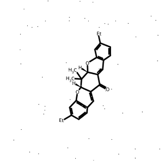 CCc1ccc2c(c1)O[C@@H]1C(=C2)C(=O)C2=Cc3ccc(CC)cc3O[C@@H]2C1(C)C